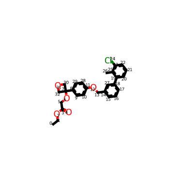 CCOC(=O)COC1(c2ccc(OCc3cccc(-c4cccc(Cl)c4C)c3)cc2)COC1